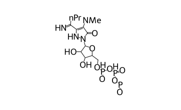 CCCC(=N)c1[nH]n(C2OC(CO[PH](=O)O[PH](=O)OP=O)C(O)C2O)c(=O)c1NC